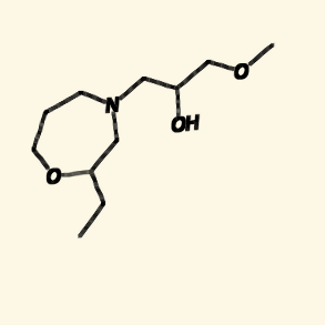 CCC1CN(CC(O)COC)CCCO1